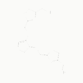 SCC1CSC(CSc2cscc2SCC2SCC(CS)S2)S1